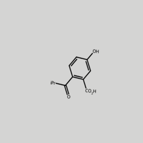 CC(C)C(=O)c1ccc(O)cc1C(=O)O